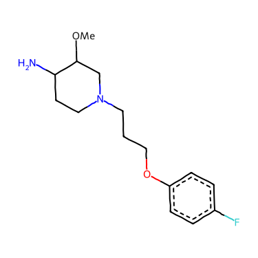 COC1CN(CCCOc2ccc(F)cc2)CCC1N